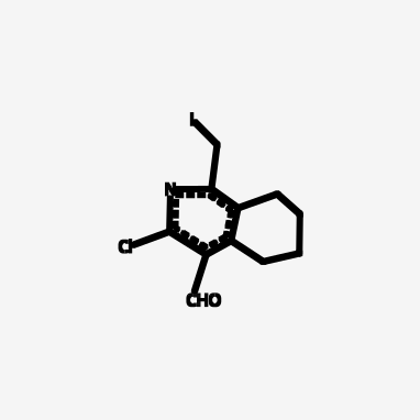 O=Cc1c(Cl)nc(CI)c2c1CCCC2